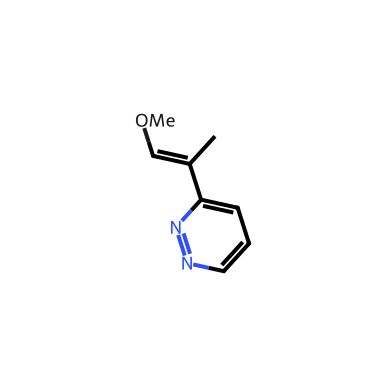 COC=C(C)c1cccnn1